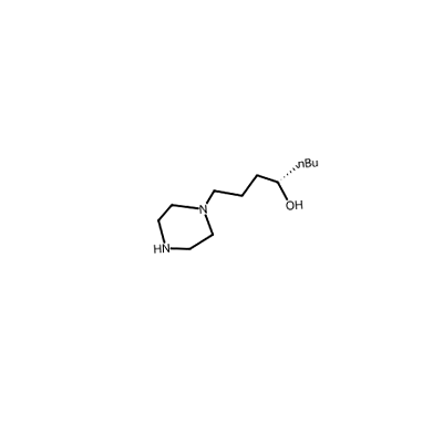 CCCC[C@H](O)CCCN1CCNCC1